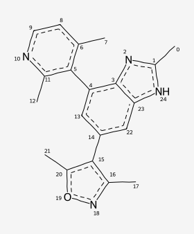 Cc1nc2c(-c3c(C)ccnc3C)cc(-c3c(C)noc3C)cc2[nH]1